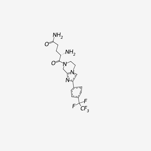 NC(=O)CC[C@H](N)C(=O)N1CCn2cc(-c3ccc(C(F)(F)C(F)(F)F)cc3)nc2C1